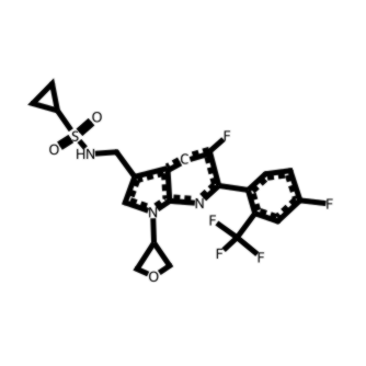 O=S(=O)(NCc1cn(C2COC2)c2nc(-c3ccc(F)cc3C(F)(F)F)c(F)cc12)C1CC1